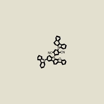 N#Cc1cc(-n2c3ccc(-n4c5ccccc5c5ccccc54)cc3c3ccc4c5ccccc5oc4c32)c(C#N)cc1-n1c2ccccc2c2c3ccccc3ccc21